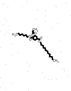 C=CC(=O)OC1(C(=O)OCCCCCCC)CCC(C(=O)OCCCCCCCCCCCCC)CC1